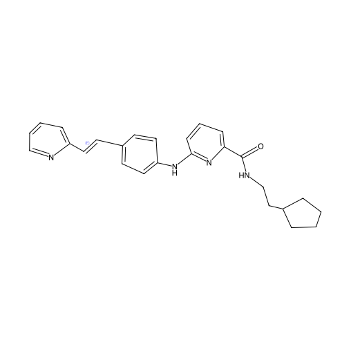 O=C(NCCC1CCCC1)c1cccc(Nc2ccc(/C=C/c3ccccn3)cc2)n1